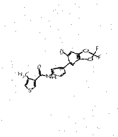 Cc1cscc1C(=O)Nc1ccc(-c2cc3c(cc2Cl)OC(F)(F)O3)cc1